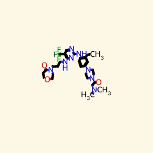 CCc1cc(N2CCN(C(=O)CN(C)C)CC2)ccc1Nc1ncc(C(F)(F)F)c(NCCCN2CCOCCC2=O)n1